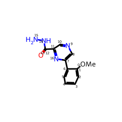 COc1ccccc1-c1cncc(C(=O)NN)n1